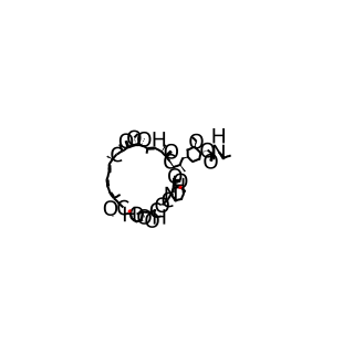 CCNC(=O)O[C@@H]1CC[C@@H](C[C@@H](C)[C@@H]2CC(=O)[C@H](C)/C=C(\C)[C@@H](O)[C@@H](OC)C(=O)C(C)C[C@H](C)/C=C/C=C/C=C(\C)[C@@H](OC)C[C@@H]3CC[C@@H](C)[C@@](O)(O3)C(=O)COCN3CCCC[C@H]3C(=O)O2)C[C@H]1OC